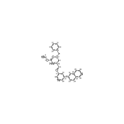 CC(C)(C)OC(=O)N[C@@H](COCc1ccccc1)COc1cncc(-c2ccc3cnccc3c2)c1